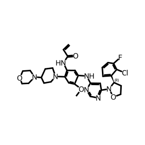 C=CC(=O)Nc1cc(Nc2cc(N3OCC[C@@H]3c3cccc(F)c3Cl)ncn2)c(OC)cc1N1CCC(N2CCOCC2)CC1